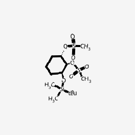 CC(C)(C)[Si](C)(C)O[C@H]1CCC[C@H](OS(C)(=O)=O)[C@@H]1OS(C)(=O)=O